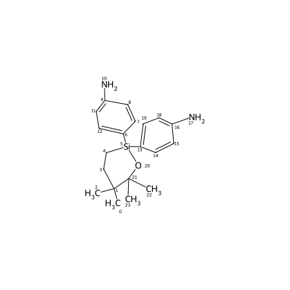 CC1(C)CC[Si](c2ccc(N)cc2)(c2ccc(N)cc2)OC1(C)C